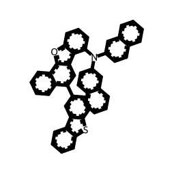 c1ccc2cc(N(c3ccc4ccccc4c3)c3cccc4oc5c6ccccc6c(-c6ccc7sc8ccccc8c7c6)cc5c34)ccc2c1